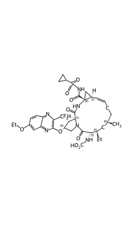 CCOc1ccc2nc(C(F)(F)F)c(O[C@@H]3C[C@H]4C(=O)N[C@]5(C(=O)NS(=O)(=O)C6CC6)C[C@H]5C=CCC[C@@H](C)C[C@@H](CC)[C@H](NC(=O)O)C(=O)N4C3)nc2c1